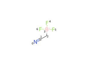 N#CC[B-](F)(F)F